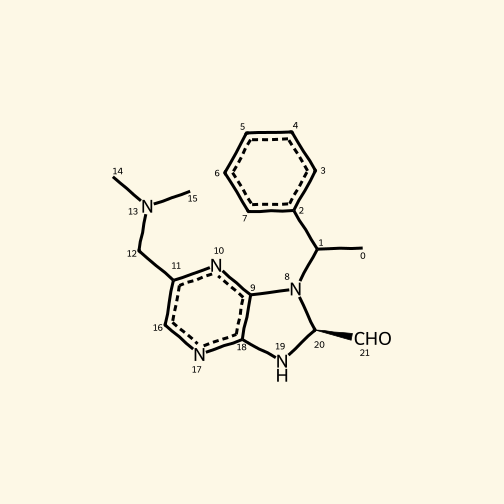 CC(c1ccccc1)N1c2nc(CN(C)C)cnc2N[C@@H]1C=O